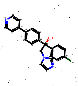 OC(Cn1ccnc1)(c1ccc(F)cc1)c1ccc(-c2ccncc2)cc1